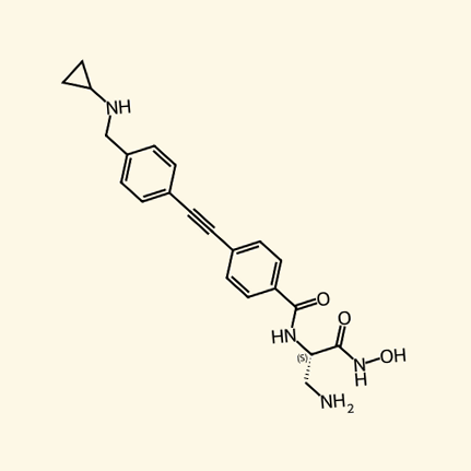 NC[C@H](NC(=O)c1ccc(C#Cc2ccc(CNC3CC3)cc2)cc1)C(=O)NO